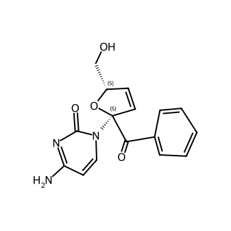 Nc1ccn([C@@]2(C(=O)c3ccccc3)C=C[C@@H](CO)O2)c(=O)n1